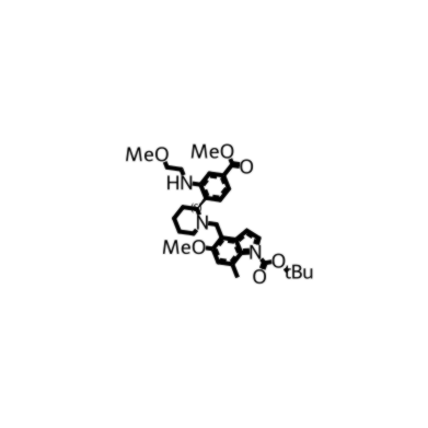 COCCNc1cc(C(=O)OC)ccc1[C@@H]1CCCCN1Cc1c(OC)cc(C)c2c1ccn2C(=O)OC(C)(C)C